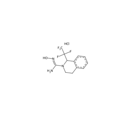 Cl.NC(=NO)N1CCc2ccccc2C1C(F)(F)C(F)(F)F